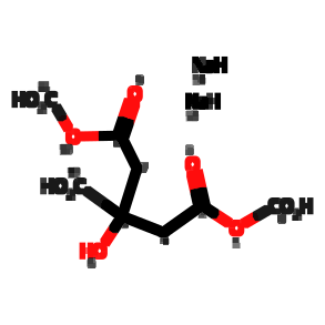 O=C(O)OC(=O)CC(O)(CC(=O)OC(=O)O)C(=O)O.[NaH].[NaH]